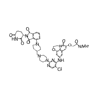 CNC(=O)COc1cc2cc(Nc3nc(N4CCN(CC5CCN(c6cccc7c6C(=O)N(C6CCC(=O)NC6=O)C7=O)CC5)CC4)ncc3Cl)cc3c2n(c1=O)CCO3